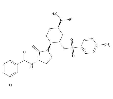 Cc1ccc(S(=O)(=O)C[C@H]2C[C@H](N(C)C(C)C)CC[C@@H]2N2CC[C@H](NC(=O)c3cccc(Cl)c3)C2=O)cc1